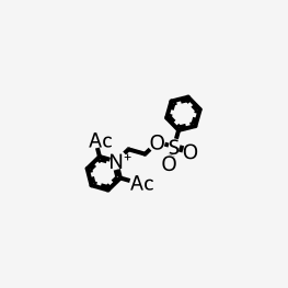 CC(=O)c1cccc(C(C)=O)[n+]1CCOS(=O)(=O)c1ccccc1